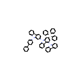 c1ccc(-c2ccc(-n3c4ccccc4c4ccc(-n5c6ccccc6c6c(-n7c8ccccc8c8ccccc87)cc([Si](c7ccccc7)(c7ccccc7)c7ccccc7)cc65)cc43)cc2)cc1